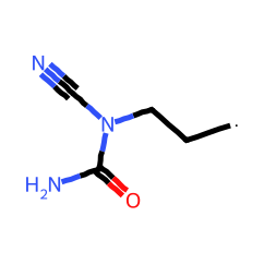 [CH2]CCN(C#N)C(N)=O